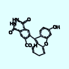 O=C(O)c1cc2c(=O)[nH][nH]c(=O)c2cc1C1=C2C=CCC=C2Oc2cc(O)ccc21